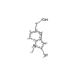 Cn1c(S)nc2cc(CO)ccc21